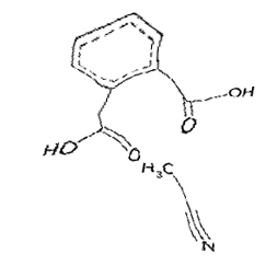 CC#N.O=C(O)c1ccccc1C(=O)O